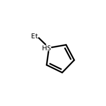 CC[SH]1C=CC=C1